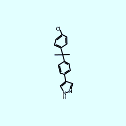 [CH2]C(C)(c1ccc(Cl)cc1)c1ccc(-c2cn[nH]c2)cc1